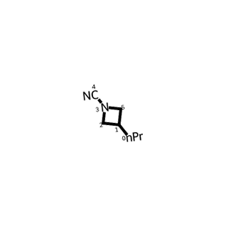 CCCC1CN(C#N)C1